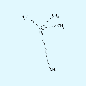 CCCCCCCCCCCCCCCC[PH](CCCCCCC)(CCCCCCC)CCCCCCC